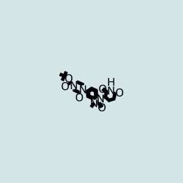 Cn1c(=O)n(C2CCC(=O)NC2=O)c2ccc(N3CCN(C(=O)OC(C)(C)C)CC3=O)cc21